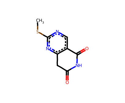 CSc1ncc2c(n1)CC(=O)NC2=O